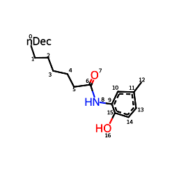 CCCCCCCCCCCCCCCC(=O)Nc1cc(C)ccc1O